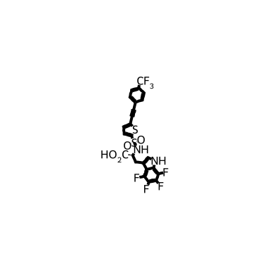 O=C(O)[C@@H](Cc1c[nH]c2c(F)c(F)c(F)c(F)c12)NS(=O)(=O)c1ccc(C#Cc2ccc(C(F)(F)F)cc2)s1